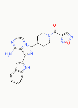 Nc1nccn2c(C3CCN(C(=O)c4cnon4)CC3)nc(-c3cc4ccccc4[nH]3)c12